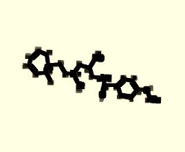 CCCCOc1ccc(C(=O)NCC(CN(CC)CCC2=C(C)C=CC=CC2)N=O)cc1